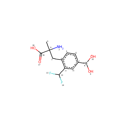 CC(N)(Cc1ccc(B(O)O)cc1C(F)F)C(=O)O